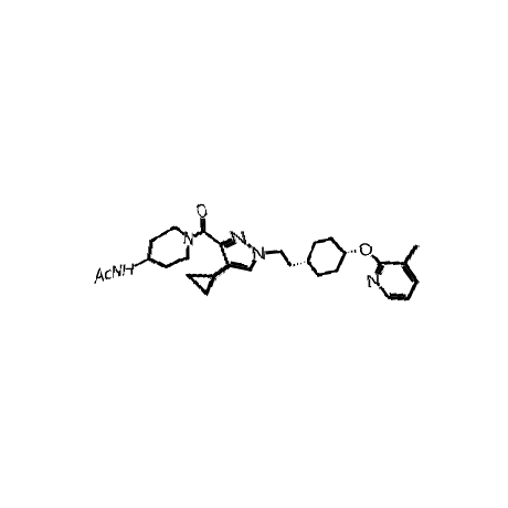 CC(=O)NC1CCN(C(=O)c2nn(CC[C@H]3CC[C@@H](Oc4ncccc4C)CC3)cc2C2CC2)CC1